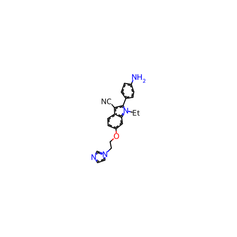 CCn1c(-c2ccc(N)cc2)c(C#N)c2ccc(OCCn3ccnc3)cc21